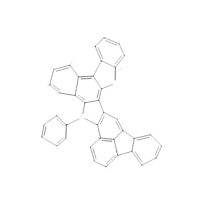 c1ccc(-n2c3c4cccc5c4c(cc3c3c4sc6ccccc6c4c4ccccc4c32)-c2ccccc2-5)cc1